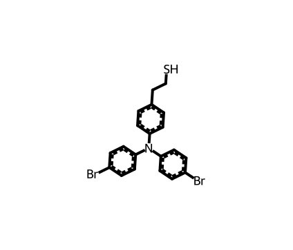 SCCc1ccc(N(c2ccc(Br)cc2)c2ccc(Br)cc2)cc1